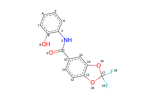 O=C(Nc1ccccc1O)c1ccc2c(c1)OC(F)(F)O2